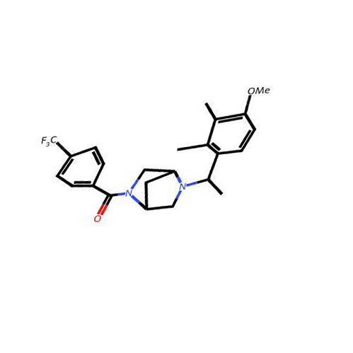 COc1ccc(C(C)N2CC3CC2CN3C(=O)c2ccc(C(F)(F)F)cc2)c(C)c1C